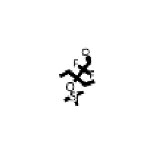 CCC(CC)(O[Si](C)(C)C)C(F)(F)C=O